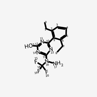 CCc1cccc(CC)c1-c1nc(O)nc(N(N)C(F)(F)F)n1